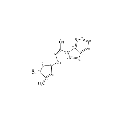 CC1=CC(O/C=C(/C#N)n2ncc3ccccc32)OC1=O